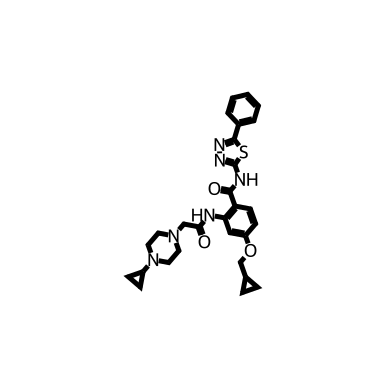 O=C(CN1CCN(C2CC2)CC1)Nc1cc(OCC2CC2)ccc1C(=O)Nc1nnc(-c2ccccc2)s1